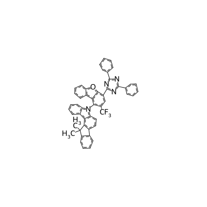 CC1(C)c2ccccc2-c2ccc3c(c21)c1ccccc1n3-c1c(C(F)(F)F)cc(-c2nc(-c3ccccc3)nc(-c3ccccc3)n2)c2oc3ccccc3c12